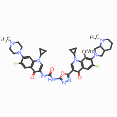 COc1c(N2CC3CCCN(C)C3C2)c(F)cc2c(=O)c(-c3nnc(NC(=O)Nc4cn(C5CC5)c5cc(N6CCN(C)CC6)c(F)cc5c4=O)o3)cn(C3CC3)c12